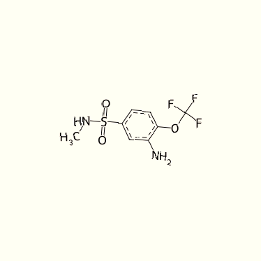 CNS(=O)(=O)c1ccc(OC(F)(F)F)c(N)c1